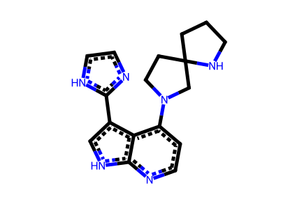 c1c[nH]c(-c2c[nH]c3nccc(N4CCC5(CCCN5)C4)c23)n1